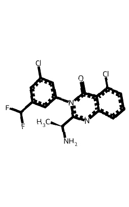 C[C@H](N)c1nc2cccc(Cl)c2c(=O)n1-c1cc(Cl)cc(C(F)F)c1